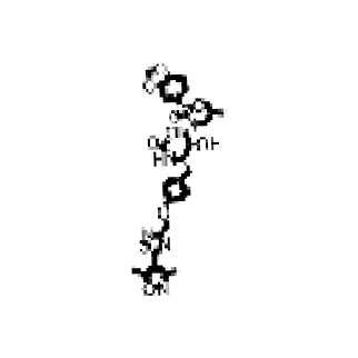 Cc1noc(C)c1-c1nc(COc2ccc(C[C@H](NC(=O)O)[C@@H](O)CN(CC(C)C)S(=O)(=O)c3ccc4c(c3)OCO4)cc2)no1